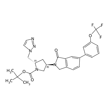 CC(C)(C)OC(=O)N1C[C@H](N2Cc3ccc(-c4cccc(OC(F)(F)F)c4)cc3C2=O)C[C@H]1Cn1ccnn1